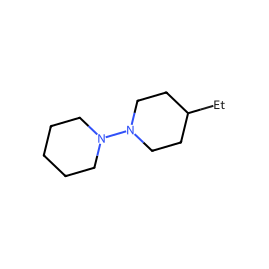 CCC1CCN(N2CCCCC2)CC1